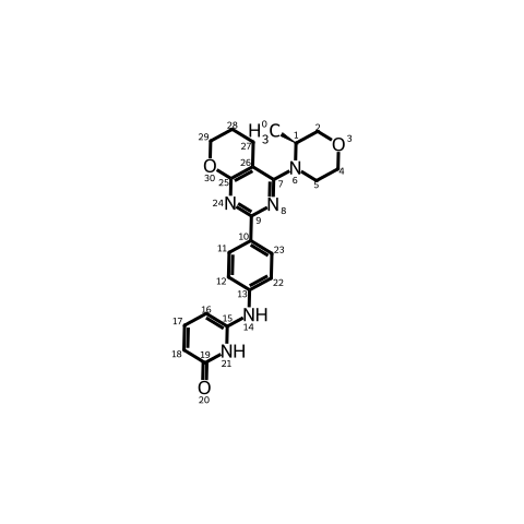 C[C@H]1COCCN1c1nc(-c2ccc(Nc3cccc(=O)[nH]3)cc2)nc2c1CCCO2